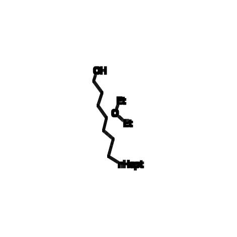 CCCCCCCCCCCCCCO.CCOCC